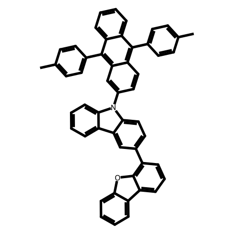 Cc1ccc(-c2c3ccccc3c(-c3ccc(C)cc3)c3cc(-n4c5ccccc5c5cc(-c6cccc7c6oc6ccccc67)ccc54)ccc23)cc1